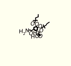 CCCC(C)(C)C(=O)Oc1ccc(C(O)CN)cc1OC(=O)C(C)(C)CCC.CS(=O)(=O)O